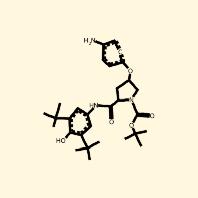 CC(C)(C)OC(=O)N1CC(Oc2ccc(N)cc2)CC1C(=O)Nc1cc(C(C)(C)C)c(O)c(C(C)(C)C)c1